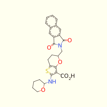 O=C(O)c1c(NC2CCCCO2)sc2c1OC(CN1C(=O)c3cc4ccccc4cc3C1=O)CC2